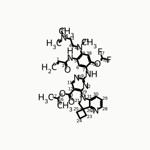 C=CC(=O)Nc1cc(Nc2ncc(C(=O)OC(C)C)c(N3CC4(CCC4)c4ncccc43)n2)c(OC(F)F)cc1N(C)CCN(C)C